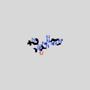 CC(C)n1c(=O)c2cnc(Nc3cc4n(n3)CCN(C)C4)nc2n1-c1ccnc(C(C)(C)C)c1